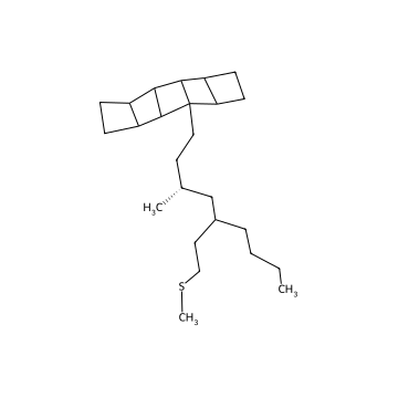 CCCCC(CCSC)C[C@H](C)CCC12C3CCC3C1C1C3CCC3C12